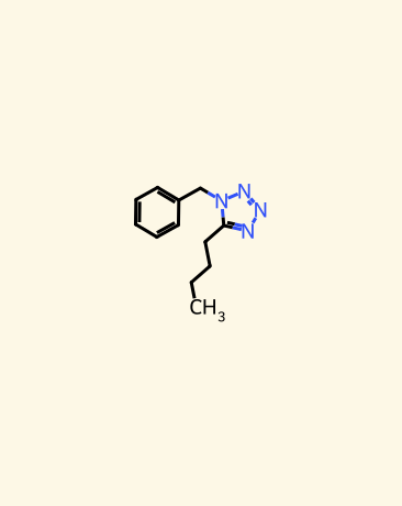 CCCCc1nnnn1Cc1ccccc1